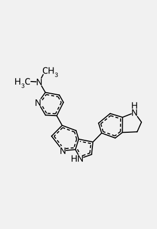 CN(C)c1ccc(-c2cnc3[nH]cc(-c4ccc5c(c4)CCN5)c3c2)cn1